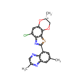 [CH2][C@@H]1COc2c(cc(Cl)c3nc(-c4cc(C)cc5nc(C)cnc45)sc23)O1